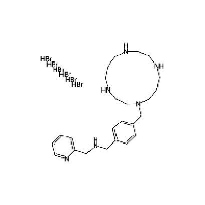 Br.Br.Br.Br.Br.Br.c1ccc(CNCc2ccc(CN3CCCNCCNCCCNCC3)cc2)nc1